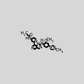 C=CC(=O)Nc1ccnc(-c2cncc3cnc(Nc4ccc(N5CCN(C)CC5)cc4OC)nc23)c1